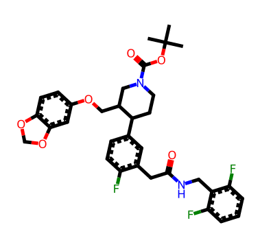 CC(C)(C)OC(=O)N1CCC(c2ccc(F)c(CC(=O)NCc3c(F)cccc3F)c2)C(COc2ccc3c(c2)OCO3)C1